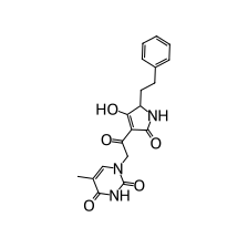 Cc1cn(CC(=O)C2=C(O)C(CCc3ccccc3)NC2=O)c(=O)[nH]c1=O